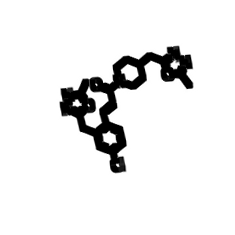 Cc1nnc(Cc2cc(Cl)ccc2C=CC(=O)N2CCC(Cc3nnc(C)o3)CC2)o1